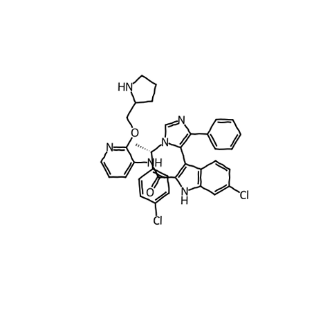 C[C@@H](c1ccc(Cl)cc1)n1cnc(-c2ccccc2)c1-c1c(C(=O)Nc2cccnc2OCC2CCCN2)[nH]c2cc(Cl)ccc12